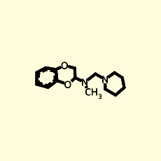 CN(CN1CCCCC1)C1COc2ccccc2O1